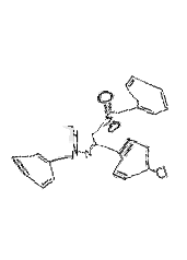 O=S(=O)(CC(=NNc1ccccc1)c1ccc(Cl)cc1)c1ccccc1